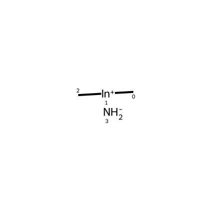 [CH3][In+][CH3].[NH2-]